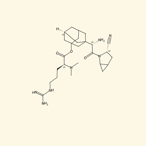 CN(C)[C@@H](CCCNC(=N)N)C(=O)OC12CC3C[C@H](C1)CC([C@H](N)C(=O)N1C4CC4C[C@H]1C#N)(C3)C2